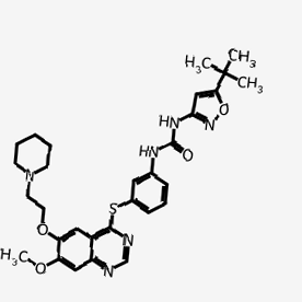 COc1cc2ncnc(Sc3cccc(NC(=O)Nc4cc(C(C)(C)C)on4)c3)c2cc1OCCN1CCCCC1